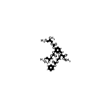 CCC(C)COC(=O)Oc1ccc(C[C@H](NCCOC(=O)Oc2ccccc2)C(=O)OC)cc1OC(=O)OCC(C)CC